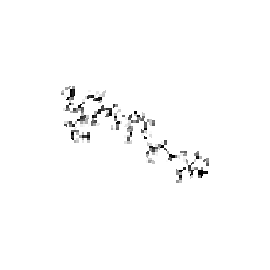 CCC(O)(CC)CC/C=C(\C)c1csc(COc2ccc(CO)c(CO)c2)c1